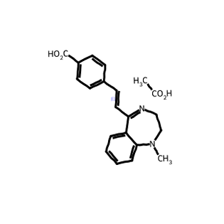 CC(=O)O.CN1CCN=C(/C=C/c2ccc(C(=O)O)cc2)c2ccccc21